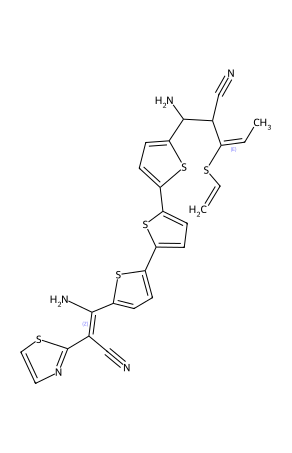 C=CS/C(=C/C)C(C#N)C(N)c1ccc(-c2ccc(-c3ccc(/C(N)=C(\C#N)c4nccs4)s3)s2)s1